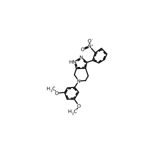 COc1cc(OC)cc(N2CCc3c(-c4ccccc4[N+](=O)[O-])n[nH]c3C2)c1